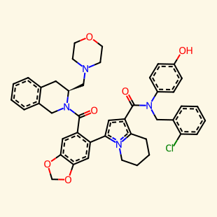 O=C(c1cc(-c2cc3c(cc2C(=O)N2Cc4ccccc4C[C@H]2CN2CCOCC2)OCO3)n2c1CCCC2)N(Cc1ccccc1Cl)c1ccc(O)cc1